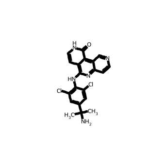 CC(C)(N)c1cc(Cl)c(Nc2nc3ccncc3c3c(=O)[nH]ccc23)c(Cl)c1